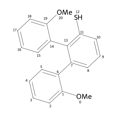 COc1ccccc1-c1cccc(S)c1-c1ccccc1OC